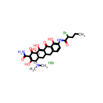 Br.CCCC(Br)C(=O)Nc1ccc2c(c1O)C(=O)C1=C(O)[C@]3(O)C(=O)C(C(N)=O)=C(O)[C@@H](N(C)C)C3CC1C2